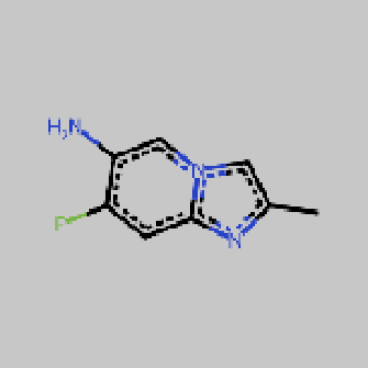 Cc1cn2cc(N)c(F)cc2n1